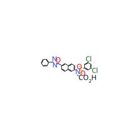 O=C(O)CN(c1ccc2cc(-c3nc(-c4ccccc4)no3)ccc2c1)S(=O)(=O)c1cc(Cl)cc(Cl)c1